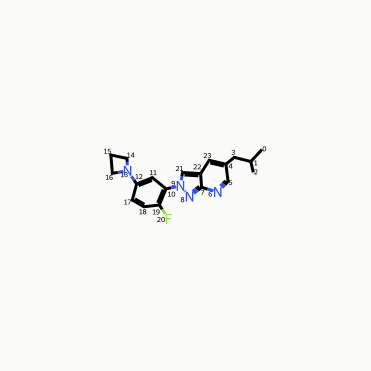 CC(C)Cc1cnc2nn(-c3cc(N4CCC4)ccc3F)cc2c1